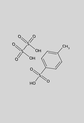 Cc1ccc(S(=O)(=O)O)cc1.O=S(=O)(O)S(=O)(=O)O